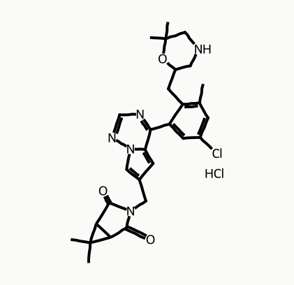 Cc1cc(Cl)cc(-c2ncnn3cc(CN4C(=O)C5C(C4=O)C5(C)C)cc23)c1CC1CNCC(C)(C)O1.Cl